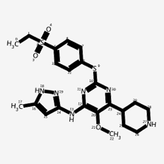 CCS(=O)(=O)c1ccc(Sc2nc(Nc3cc(C)[nH]n3)c(OC)c(C3CCNCC3)n2)cc1